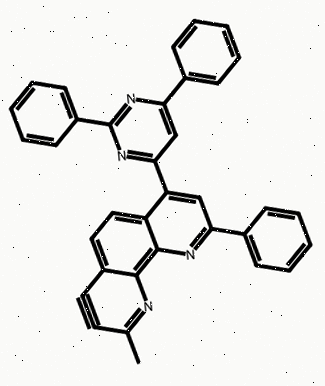 Cc1c#cc2ccc3c(-c4cc(-c5ccccc5)nc(-c5ccccc5)n4)cc(-c4ccccc4)nc3c2n1